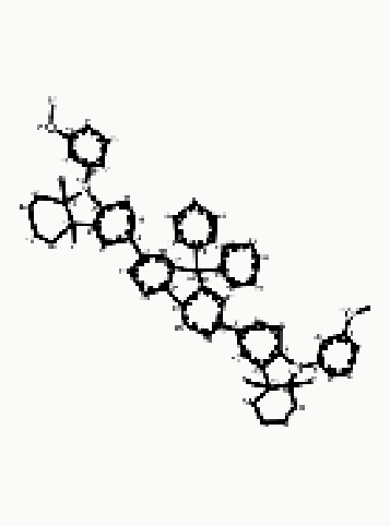 COc1cccc(N2c3ccc(-c4ccc5c(c4)C(c4ccccc4)(c4ccccc4)c4cc(-c6ccc7c(c6)C6(C)CCCCC6(C)N7c6cccc(OC)c6)ccc4-5)cc3C3(C)CCCCC23C)c1